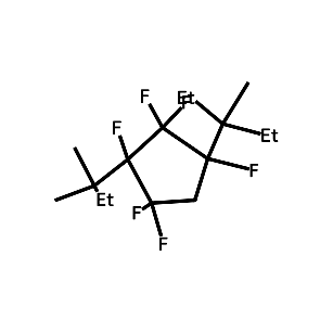 CCC(C)(C)C1(F)C(F)(F)CC(F)(C(C)(CC)CC)C1(F)F